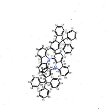 c1ccc(C2(c3ccccc3)c3ccccc3-c3cc(-c4cccc5c6ccccc6n(-c6cccc7c8ccccc8n(-c8cccc([Si](c9ccccc9)(c9ccccc9)c9ccccc9)c8)c67)c45)ccc32)cc1